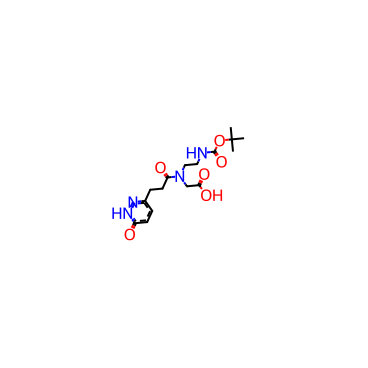 CC(C)(C)OC(=O)NCCN(CC(=O)O)C(=O)CCc1ccc(=O)[nH]n1